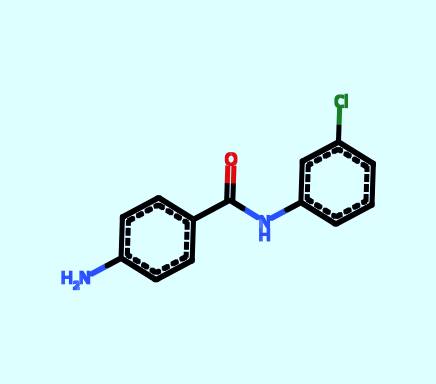 Nc1ccc(C(=O)Nc2cccc(Cl)c2)cc1